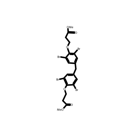 COC(=O)CCOc1c(Br)cc(Cc2cc(Br)c(OCCC(=O)OC)c(Br)c2)cc1Br